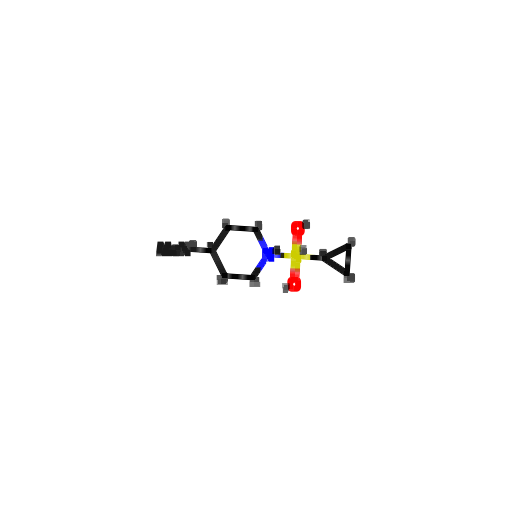 CNC1CCN(S(=O)(=O)C2CC2)CC1